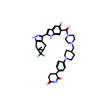 CC12Cc3[nH]nc(-c4cc5cc(F)c(C(=O)N6CCN(CC7CCN(c8ccc(C9CCC(=O)NC9=O)cc8)CC7)CC6)cc5[nH]4)c3CC1C2(F)F